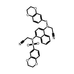 N#CCN(Sc1ccc2c(c1)OCCO2)c1ccc(N(CC#N)S(=O)(=O)c2ccc3c(c2)OCCO3)c2ccccc12